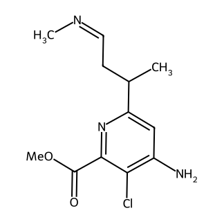 C/N=C\CC(C)c1cc(N)c(Cl)c(C(=O)OC)n1